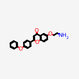 NCCOc1ccc2oc(-c3ccc(Oc4ccccc4)cc3)cc(=O)c2c1